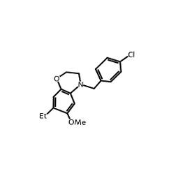 CCc1cc2c(cc1OC)N(Cc1ccc(Cl)cc1)CCO2